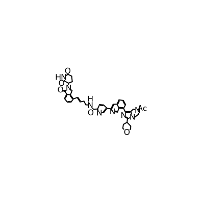 CC(=O)N1CCn2c(C3CCOCC3)nc(-c3cccc4cc(-c5ccc(C(=O)NCC/C=C/c6cccc7c6CN(C6CCC(=O)NC6=O)C7=O)nc5)ncc34)c2C1